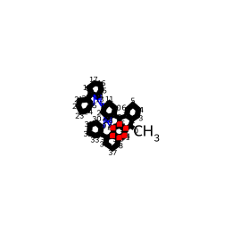 CC12c3ccccc3C3(c4ccc(-n5c6ccccc6c6ccccc65)cc4N(c4ccccc4-c4ccccc4)c4cccc1c43)c1ccccc12